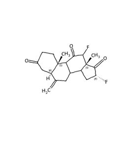 C=C1CC2C3C[C@@H](F)C(=O)[C@@]3(C)C(F)C(=O)C2[C@@]2(C)CCC(=O)C[C@H]12